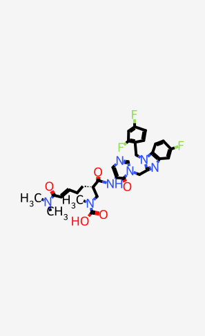 CN(C)C(=O)/C=C/CC[C@@H](CN(C)C(=O)O)C(=O)Nc1cncn(Cc2nc3cc(F)ccc3n2Cc2ccc(F)cc2F)c1=O